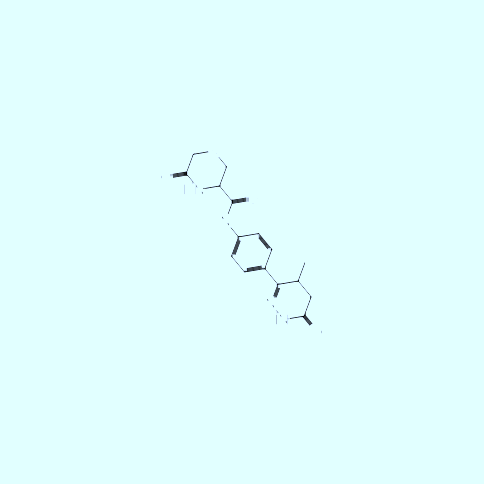 CC1CC(=O)NN=C1c1ccc(NC(=O)C2CSCC(=O)N2)cc1